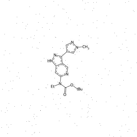 CCN(C(=O)OC(C)(C)C)c1cc2[nH]nc(-c3cnn(C)c3)c2cn1